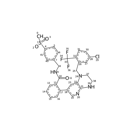 CS(=O)(=O)c1ccc(CNC(=O)c2ccccc2-c2cnc3c(c2)N(Cc2cc(Cl)ccc2C(F)(F)F)CCN3)cc1